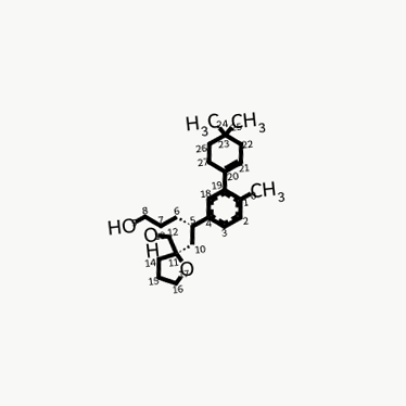 Cc1ccc([C@@H](CCCO)C[C@@]2(CO)CCCO2)cc1C1=CCC(C)(C)CC1